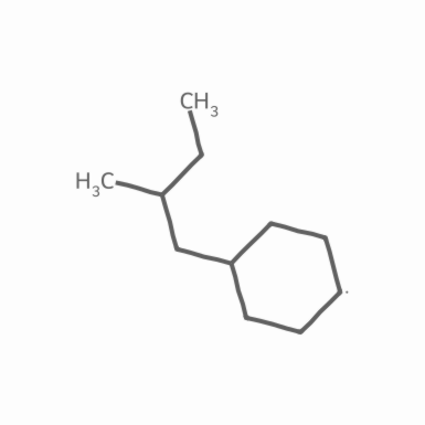 CCC(C)CC1CC[CH]CC1